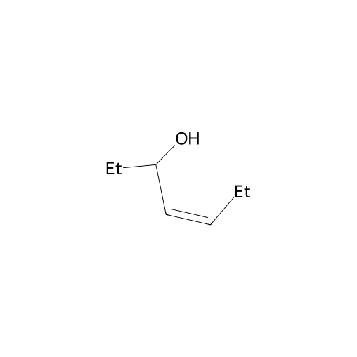 CC/C=C\C(O)CC